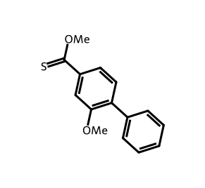 COC(=S)c1ccc(-c2ccccc2)c(OC)c1